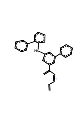 C=C/C=C\C(=C)c1cc(Nc2ccccc2-c2ccccc2)cc(-c2ccccc2)c1